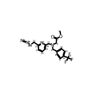 COC(=O)CN(Cc1ccc(C(F)(F)F)cc1)Cc1cccc(CN=[N+]=[N-])n1